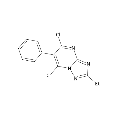 CCc1nc2nc(Cl)c(-c3ccccc3)c(Cl)n2n1